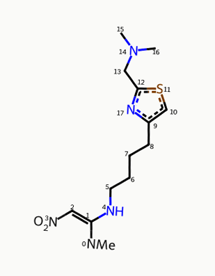 CNC(=C[N+](=O)[O-])NCCCCc1csc(CN(C)C)n1